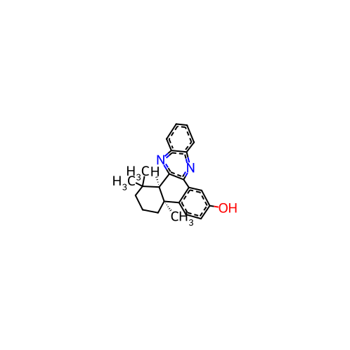 CC1(C)CCC[C@]2(C)c3ccc(O)cc3-c3nc4ccccc4nc3[C@H]12